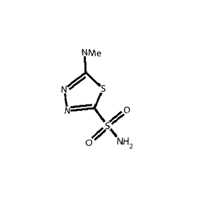 CNc1nnc(S(N)(=O)=O)s1